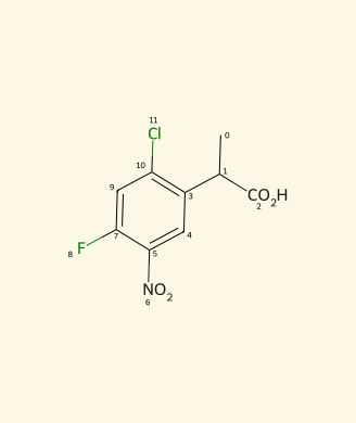 CC(C(=O)O)c1cc([N+](=O)[O-])c(F)cc1Cl